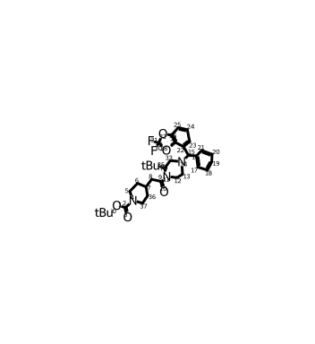 CC(C)(C)OC(=O)N1CCC(CC(=O)N2CCN(C(c3ccccc3)c3cccc4c3OC(F)(F)O4)C[C@@H]2C(C)(C)C)CC1